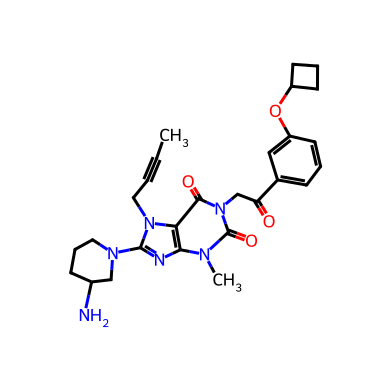 CC#CCn1c(N2CCCC(N)C2)nc2c1c(=O)n(CC(=O)c1cccc(OC3CCC3)c1)c(=O)n2C